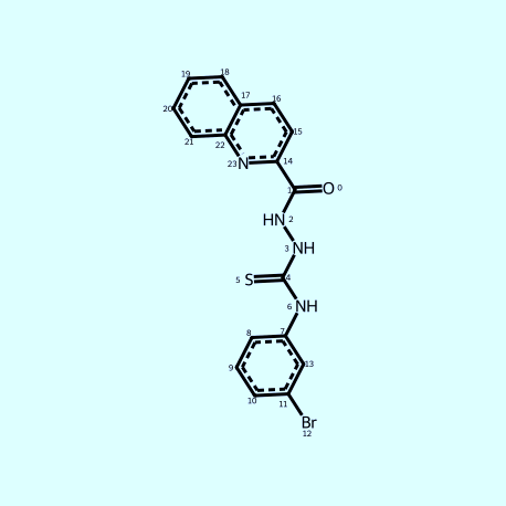 O=C(NNC(=S)Nc1cccc(Br)c1)c1ccc2ccccc2n1